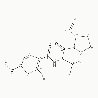 COC1C=CC(C(=O)N[C@H](C(=O)N2CCC[C@H]2C=O)C(C)C)=C(Cl)C1